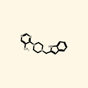 Cc1cncnc1N1CCN(Cc2cc3ccccc3[nH]2)CC1